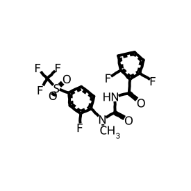 CN(C(=O)NC(=O)c1c(F)cccc1F)c1ccc(S(=O)(=O)C(F)(F)F)cc1F